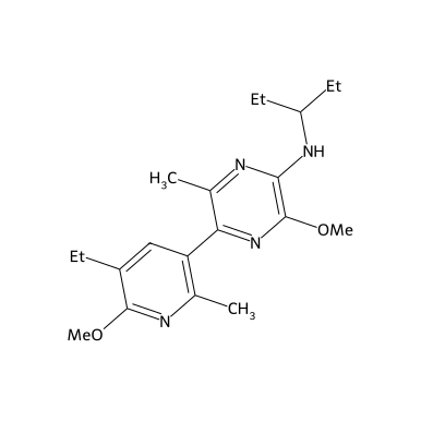 CCc1cc(-c2nc(OC)c(NC(CC)CC)nc2C)c(C)nc1OC